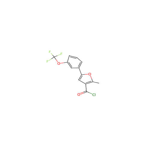 Cc1oc(-c2cccc(OC(F)(F)F)c2)cc1C(=O)Cl